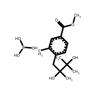 COC(=O)c1ccc(CC(C)(O)C(C)(C)O)c(C)c1.OB(O)O